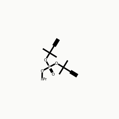 C#CC(C)(C)OP(=O)(OCCC)OC(C)(C)C#C